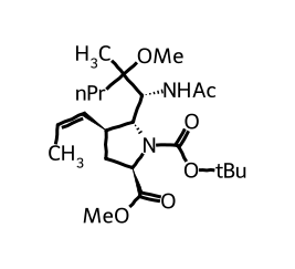 C/C=C\[C@@H]1C[C@H](C(=O)OC)N(C(=O)OC(C)(C)C)[C@H]1[C@@H](NC(C)=O)C(C)(CCC)OC